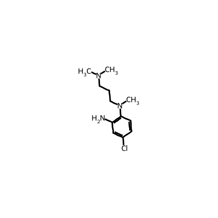 CN(C)CCCN(C)c1ccc(Cl)cc1N